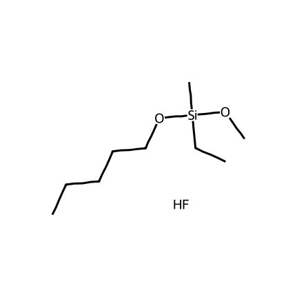 CCCCCO[Si](C)(CC)OC.F